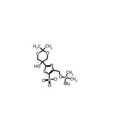 CC1(C)OCC(O)(c2nc(CO[Si](C)(C)C(C)(C)C)c(S(=O)(=O)Cl)s2)CO1